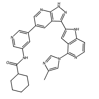 Cc1cn(-c2nccc3[nH]c(-c4n[nH]c5ncc(-c6cncc(NC(=O)C7CCCCC7)c6)cc45)cc23)cn1